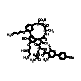 C[C@@H]1NC(=O)[C@@H](N(C)C(=O)[C@H](CNS(N)(=O)=O)NC(=O)c2c(N)cc(-c3ccc(C(C)(C)C)cc3)nc2Cl)c2cc(OC[C@H](O)CN)c(O)c(c2)-c2cc(ccc2OCCCN)C[C@@H](C(=O)O)NC1=O